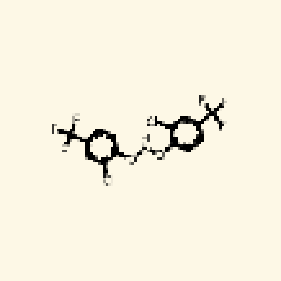 FC(F)(F)c1ccc(OBOc2ccc(C(F)(F)F)cc2Cl)c(Cl)c1